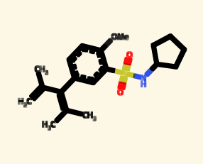 C=C(C)C(=C(C)C)c1ccc(OC)c(S(=O)(=O)NC2CCCC2)c1